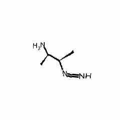 C[C@@H](N)[C@@H](C)N=N